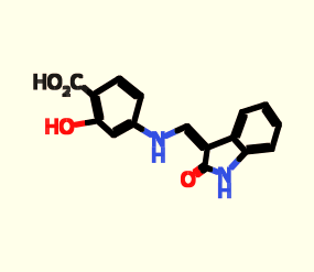 O=C1Nc2ccccc2/C1=C/Nc1ccc(C(=O)O)c(O)c1